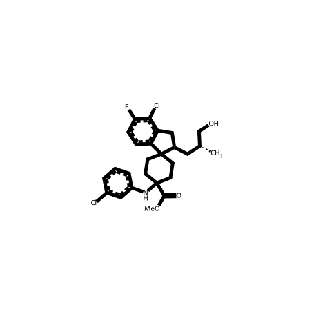 COC(=O)C1(Nc2cccc(Cl)c2)CCC2(CC1)c1ccc(F)c(Cl)c1CC2C[C@@H](C)CO